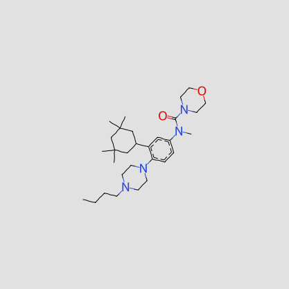 CCCCN1CCN(c2ccc(N(C)C(=O)N3CCOCC3)cc2C2CC(C)(C)CC(C)(C)C2)CC1